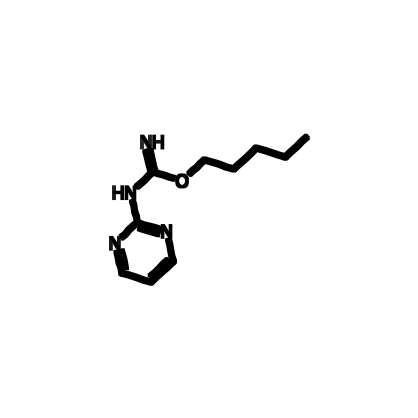 CCCCCOC(=N)Nc1ncccn1